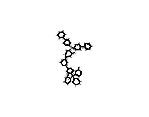 CC1C=CC=C(C2(C3=CCCC=C3)c3ccc(C4C=C(C5=CC(C)C(N(c6ccc(-c7ccccc7)cc6)c6ccc(-c7ccccc7)cc6)C=C5)C=CC4)cc3C3C=CC=CC32)C1